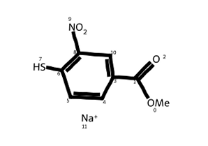 COC(=O)c1ccc(S)c([N+](=O)[O-])c1.[Na+]